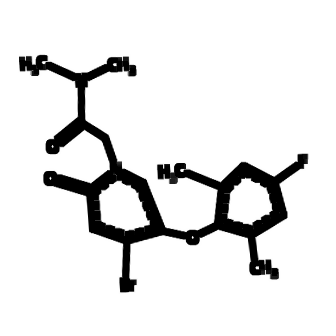 Cc1cc(F)cc(C)c1Oc1cn(CC(=O)N(C)C)c(=O)cc1Br